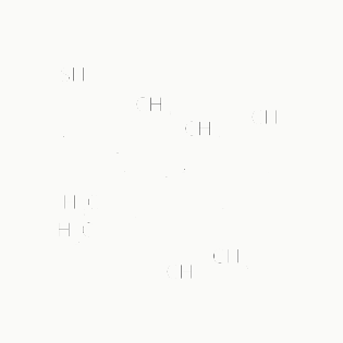 CCC(C)C(C)(C(C)C)C(C)(C)CS